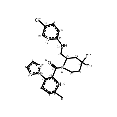 Cc1ccc(-n2nccn2)c(C(=O)N2CCC(F)(F)CC2CNc2ccc(Cl)cn2)n1